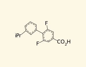 CC(C)c1cccc(-c2c(F)cc(C(=O)O)cc2F)c1